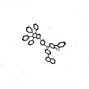 c1ccc(-c2c(-c3ccccc3)c(-c3ccccc3)c3cc(-c4ccc(N(c5ccc(-c6cccc7ccccc67)cc5)c5ccc6c(c5)oc5ccccc56)cc4)ccc3c2-c2ccccc2)cc1